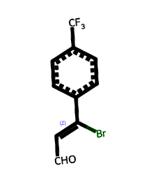 O=C/C=C(\Br)c1ccc(C(F)(F)F)cc1